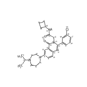 CC(C)N1CCCN(c2ccc3nc(-c4cccc(Cl)c4)n(CC(=O)NC4CCC4)c(=O)c3c2)CC1